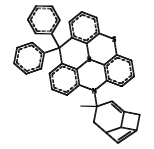 CC1(N2c3cccc4c3B3c5c(cccc5C(c5ccccc5)(c5ccccc5)c5cccc2c53)S4)C=C2CC3=CC(C1)C32